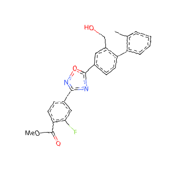 COC(=O)c1ccc(-c2noc(-c3ccc(-c4ccccc4C)c(CO)c3)n2)cc1F